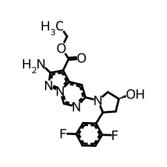 CCOC(=O)c1c(N)nn2cnc(N3C[C@@H](O)CC3c3cc(F)ccc3F)cc12